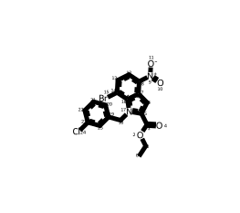 CCOC(=O)c1cc2c([N+](=O)[O-])ccc(Br)c2n1Cc1cccc(Cl)c1